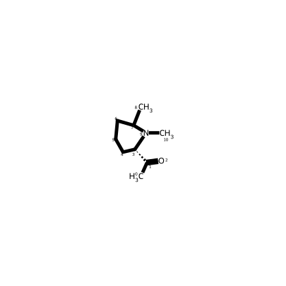 CC(=O)[C@@H]1CCCC(C)N1C